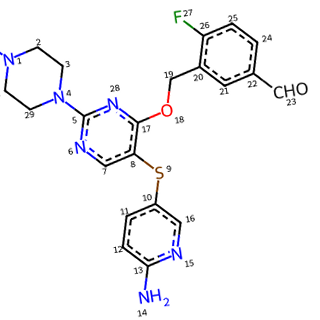 CN1CCN(c2ncc(Sc3ccc(N)nc3)c(OCc3cc(C=O)ccc3F)n2)CC1